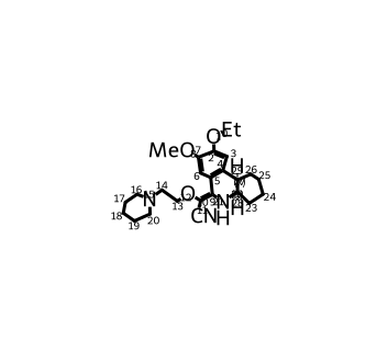 CCOc1cc2c(cc1OC)C(=C(C#N)OCCN1CCCCC1)N[C@@H]1CCCC[C@H]21